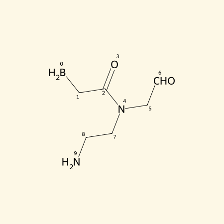 BCC(=O)N(CC=O)CCN